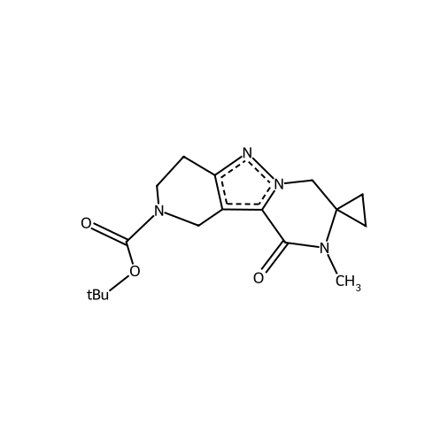 CN1C(=O)c2c3c(nn2CC12CC2)CCN(C(=O)OC(C)(C)C)C3